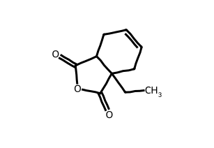 CCC12CC=CCC1C(=O)OC2=O